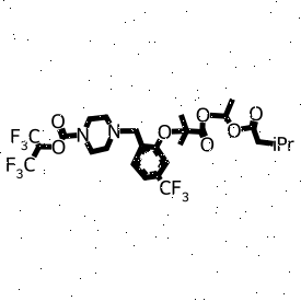 CC(C)CC(=O)OC(C)OC(=O)C(C)(C)Oc1cc(C(F)(F)F)ccc1CN1CCN(C(=O)OC(C(F)(F)F)C(F)(F)F)CC1